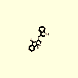 O=C1c2ccccc2[C@@H]2OC[C@@H](Cc3c[nH]c4ccccc34)N12